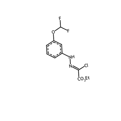 CCOC(=O)C(Cl)=NNc1cccc(OC(F)F)c1